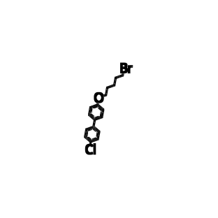 Clc1ccc(-c2ccc(OCCCCCBr)cc2)cc1